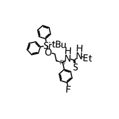 CCNC(=S)N[C@H](CCO[Si](c1ccccc1)(c1ccccc1)C(C)(C)C)c1ccc(F)cc1